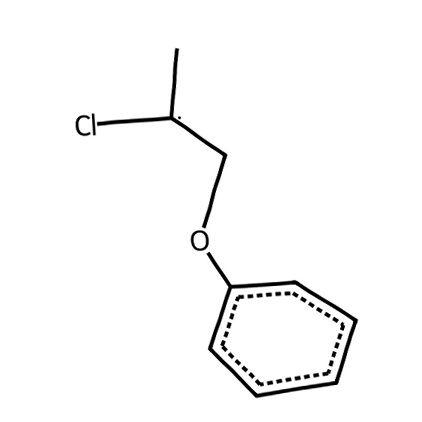 C[C](Cl)COc1ccccc1